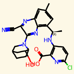 Cc1cc([C@@H](C)Nc2ccc(Cl)nc2C(=O)O)c2nc(N3CC4CCC3C(O)C4)c(C#N)nc2c1